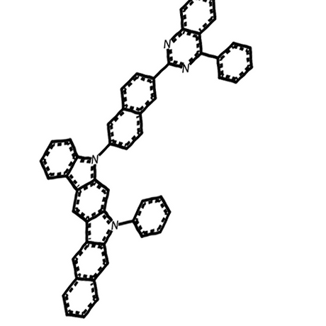 c1ccc(-c2nc(-c3ccc4cc(-n5c6ccccc6c6cc7c8cc9ccccc9cc8n(-c8ccccc8)c7cc65)ccc4c3)nc3ccccc23)cc1